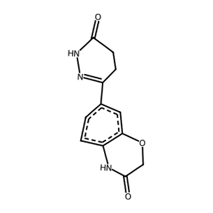 O=C1CCC(c2ccc3c(c2)OCC(=O)N3)=NN1